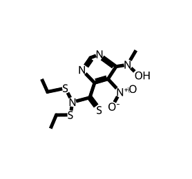 CCSN(SCC)C(=S)c1ncnc(N(C)O)c1[N+](=O)[O-]